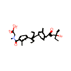 CCC(O)(CC)CC(=O)c1ccc(C(CC)(CC)c2ccc(C(=O)N(C)CC(=O)O)c(C)c2)cc1C